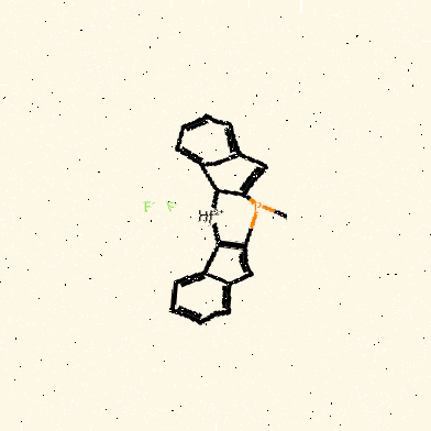 CP1C2=Cc3ccccc3[CH]2[Hf+2][CH]2C1=Cc1ccccc12.[F-].[F-]